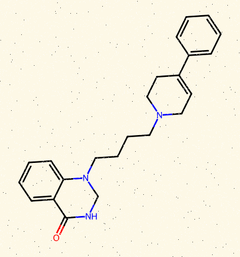 O=C1NCN(CCCCN2CC=C(c3ccccc3)CC2)c2ccccc21